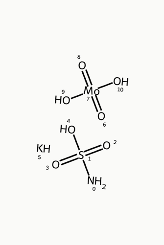 NS(=O)(=O)O.[KH].[O]=[Mo](=[O])([OH])[OH]